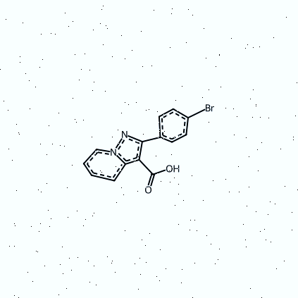 O=C(O)c1c(-c2ccc(Br)cc2)nn2ccccc12